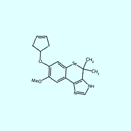 COc1cc2c(cc1OC1CC=CC1)[Se]C(C)(C)c1[nH]cnc1-2